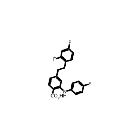 O=C(O)c1ccc(CCc2ccc(F)cc2F)cc1Nc1ccc(F)cc1